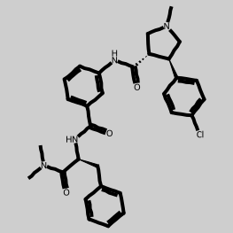 CN1C[C@@H](C(=O)Nc2cccc(C(=O)N[C@@H](Cc3ccccc3)C(=O)N(C)C)c2)[C@H](c2ccc(Cl)cc2)C1